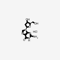 Cl.Nc1nc2c(ncn2[C@H]2CC(O)[C@@H](CO)O2)c(=O)[nH]1